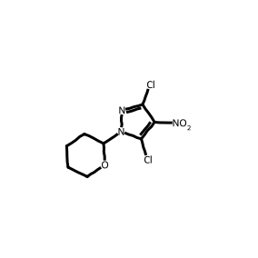 O=[N+]([O-])c1c(Cl)nn(C2CCCCO2)c1Cl